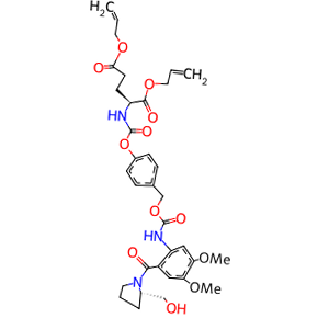 C=CCOC(=O)CC[C@H](NC(=O)Oc1ccc(COC(=O)Nc2cc(OC)c(OC)cc2C(=O)N2CCC[C@H]2CO)cc1)C(=O)OCC=C